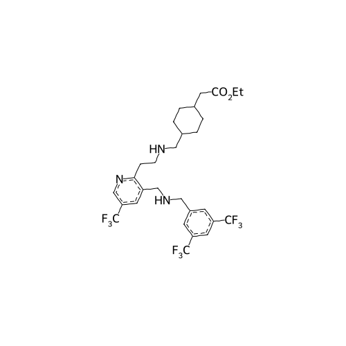 CCOC(=O)CC1CCC(CNCCc2ncc(C(F)(F)F)cc2CNCc2cc(C(F)(F)F)cc(C(F)(F)F)c2)CC1